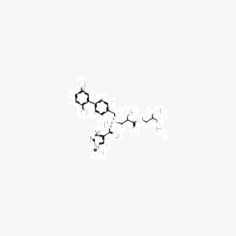 CC(C)COC(=O)C(O)CN(Cc1ccc(-c2cc(Cl)ccc2Cl)cc1)NC(=O)c1cn(O)nn1